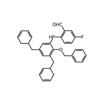 O=Cc1cc(F)ccc1Pc1cc(CC2C=CC=CC2)cc(CC2C=CC=CC2)c1OCc1ccccc1